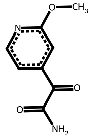 COc1cc(C(=O)C(N)=O)ccn1